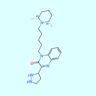 C[C@@H]1CCC[C@H](C)N1CCCCCn1c(=O)c(C2CCNN2)nc2ccccc21